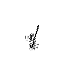 CCCCCCCCCCCC(=O)OC[C@@H](O)[C@H]1OC[C@H](O)[C@H]1O.OCC(O)CO